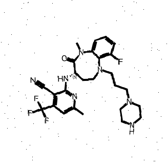 Cc1cc(C(F)(F)F)c(C#N)c(N[C@H]2CCN(CCCN3CCNCC3)c3c(F)cccc3N(C)C2=O)n1